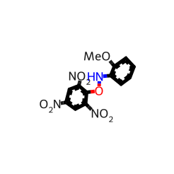 COc1ccccc1NOc1c([N+](=O)[O-])cc([N+](=O)[O-])cc1[N+](=O)[O-]